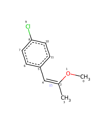 CO/C(C)=C\c1ccc(Cl)cc1